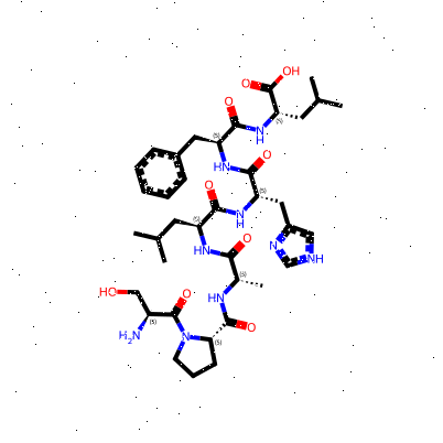 CC(C)C[C@H](NC(=O)[C@H](Cc1ccccc1)NC(=O)[C@H](Cc1c[nH]cn1)NC(=O)[C@H](CC(C)C)NC(=O)[C@H](C)NC(=O)[C@@H]1CCCN1C(=O)[C@@H](N)CO)C(=O)O